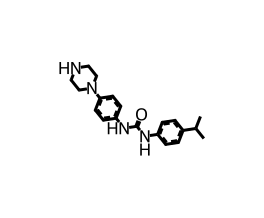 CC(C)c1ccc(NC(=O)Nc2ccc(N3CCNCC3)cc2)cc1